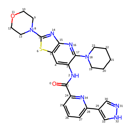 O=C(Nc1cc2sc(N3CCOCC3)nc2nc1N1CCCCC1)c1cccc(-c2cn[nH]c2)n1